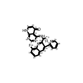 CC(Nc1ncnc2[nH]ccc(=O)c12)c1nc2c(F)cccc2cc1-c1ccccn1